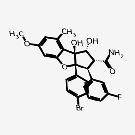 COc1cc(C)c2c(c1)O[C@@]1(c3ccc(Br)cc3)[C@H](c3cccc(F)c3)[C@@H](C(N)=O)[C@@H](O)[C@@]21O